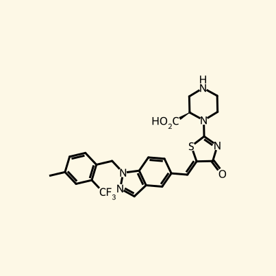 Cc1ccc(Cn2ncc3cc(/C=C4\SC(N5CCNC[C@@H]5C(=O)O)=NC4=O)ccc32)c(C(F)(F)F)c1